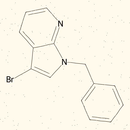 Brc1cn(Cc2ccccc2)c2ncccc12